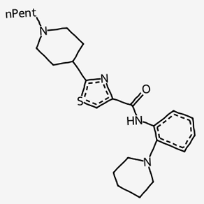 CCCCCN1CCC(c2nc(C(=O)Nc3ccccc3N3CCCCC3)cs2)CC1